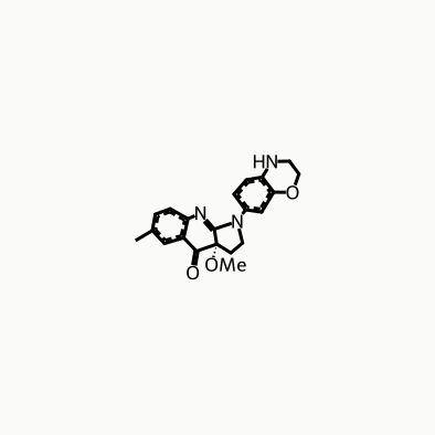 CO[C@@]12CCN(c3ccc4c(c3)OCCN4)C1=Nc1ccc(C)cc1C2=O